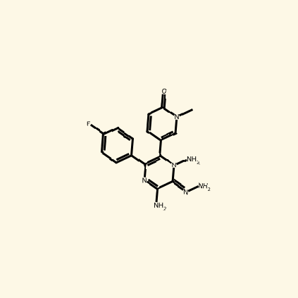 Cn1cc(-c2c(-c3ccc(F)cc3)nc(N)/c(=N/N)n2N)ccc1=O